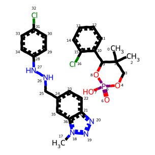 CC1(C)COP(=O)(O)OC1c1ccccc1Cl.Cn1nnc2ccc(CNNc3ccc(Cl)cc3)cc21